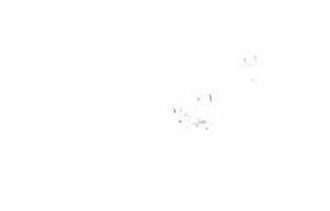 CCCCCCCCCCCCCCCCCCC(C)(C)C(C)(CC(C)(C)C)c1ccc(OCCOCC[N+](C)(C)Cc2ccccc2)cc1.[Cl-]